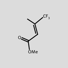 COC(=O)C=C(C)C(F)(F)F